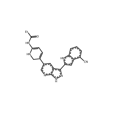 CCC(=O)NC1=CC=C(c2cnc3[nH]nc(-c4cc5c(C#N)cccc5[nH]4)c3c2)CN1